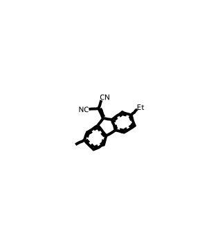 CCc1ccc2c(c1)C(=C(C#N)C#N)c1cc(C)ccc1-2